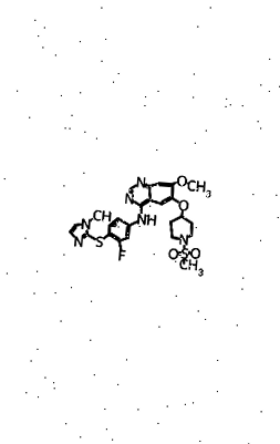 COc1cc2ncnc(Nc3ccc(Sc4nccn4C)c(F)c3)c2cc1OC1CCN(S(C)(=O)=O)CC1